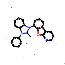 CC1N(c2ccccc2)c2ccccc2N1c1cccc2c1oc1ncccc12